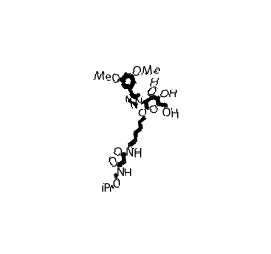 COc1cc(OC)cc(-c2cn(C3C(OCCCCCCNC(=O)CC(=O)NCOC(C)C)OC(CO)C(O)C3O)nn2)c1